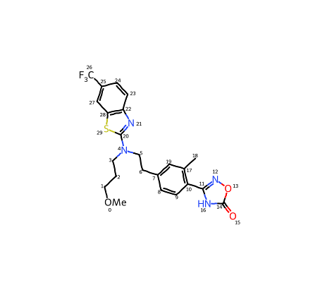 COCCCN(CCc1ccc(-c2noc(=O)[nH]2)c(C)c1)c1nc2ccc(C(F)(F)F)cc2s1